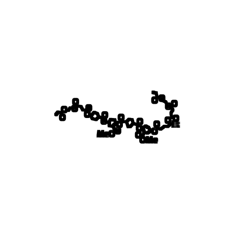 C=CC(=O)OCCOC(=O)CCC(=O)OC(CC)CCCC(=O)Oc1ccc(OC(=O)C2CCC(C(=O)Oc3ccc(OC(=O)C4CCC(OC(=O)CCC(=O)OCCOC(=O)C=C)CC4)cc3C(=O)OC)CC2)c(C(=O)OC)c1